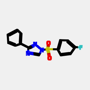 O=S(=O)(c1ccc(F)cc1)n1cnc(-c2ccccc2)n1